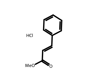 COC(=O)/C=C/c1ccccc1.Cl